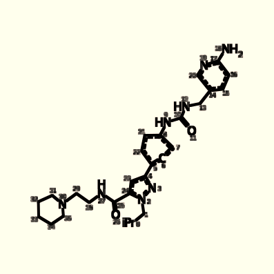 CC(C)Cn1nc(-c2ccc(NC(=O)NCc3ccc(N)nc3)cc2)cc1C(=O)NCCN1CCCCC1